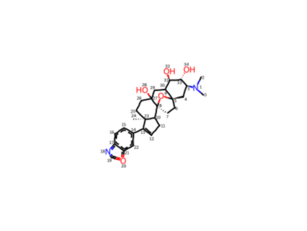 CN(C)[C@H]1C[C@@]23CC[C@]4(O2)C2CC=C(c5ccc6ncoc6c5)[C@@]2(C)CCC4(O)CC3[C@@H](O)[C@@H]1O